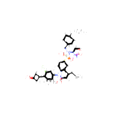 COc1ccc(CN(c2ccon2)S(=O)(=O)c2ccc3c(c2)c(CC(C)C)cc(=O)n3-c2cc(F)c(C3CC(=O)C3)cc2OC)cc1